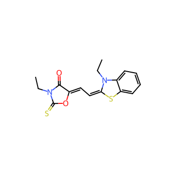 CCN1C(=O)/C(=C/C=C2/Sc3ccccc3N2CC)OC1=S